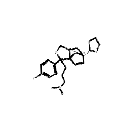 CN(C)CCCC1(c2ccc(F)cc2)OCC2C[C@@]3(C4OCCO4)C=CC21O3